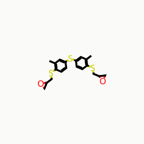 Cc1cc(Sc2ccc(SCC3CO3)c(C)c2)ccc1SCC1CO1